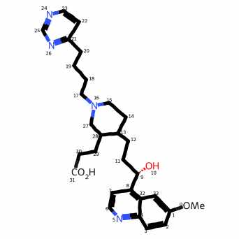 COc1ccc2nccc([C@@H](O)CCC3CCN(CCCCc4ccncn4)CC3CCC(=O)O)c2c1